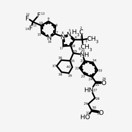 CC(C)(C)c1nn(-c2ccc(C(F)(F)F)cn2)cc1C(Nc1ccc(C(=O)NCCC(=O)O)cc1)C1CCCCC1